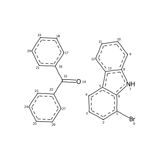 Brc1cccc2c1[nH]c1ccccc12.O=C(c1ccccc1)c1ccccc1